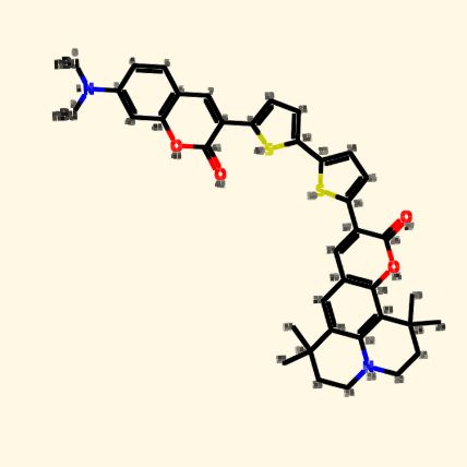 CCCCN(CCCC)c1ccc2cc(-c3ccc(-c4ccc(-c5cc6cc7c8c(c6oc5=O)C(C)(C)CCN8CCC7(C)C)s4)s3)c(=O)oc2c1